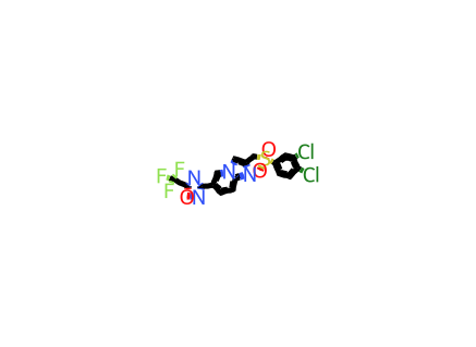 O=S(=O)(Cc1cn2cc(-c3noc(C(F)(F)F)n3)ccc2n1)c1ccc(Cl)c(Cl)c1